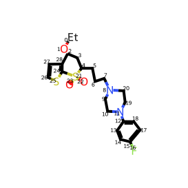 CCOC1CC(CCCN2CCN(c3ccc(F)cc3)CC2)S(=O)(=O)c2sccc21